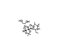 CCC1O[C@@H](O[C@@H]2[C@H]3OC(C)(C)O[C@H]3O[C@@H]2C(O)CO)C(C)[C@@H](C)[C@H]1C